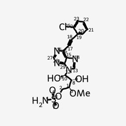 CO[C@H](COS(N)(=O)=O)[C@@H](O)[C@@H](O)n1cnc2c(C#Cc3ccccc3Cl)ncnc21